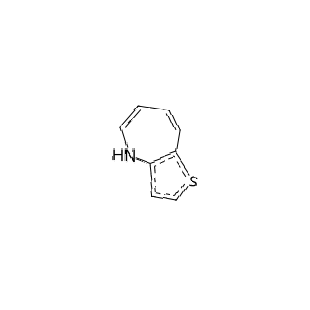 C1=CNc2ccsc2C=C1